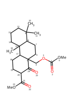 COC(=O)OCC12CCC3C(C)(C)CCCC3(C)C1CCC(C(=O)OC)C2=O